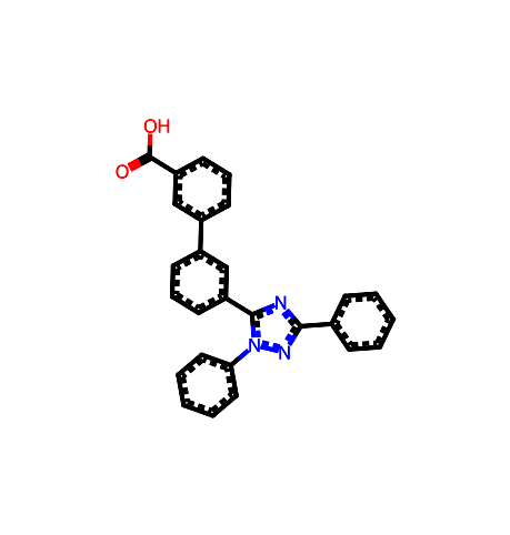 O=C(O)c1cccc(-c2cccc(-c3nc(-c4ccccc4)nn3-c3ccccc3)c2)c1